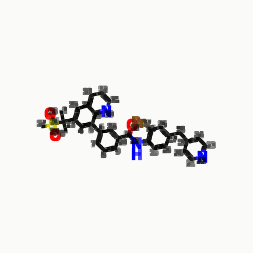 CC(C)(c1cc(-c2cccc(C(=O)Nc3ccc(Cc4ccncc4)cc3Br)c2)c2ncccc2c1)S(C)(=O)=O